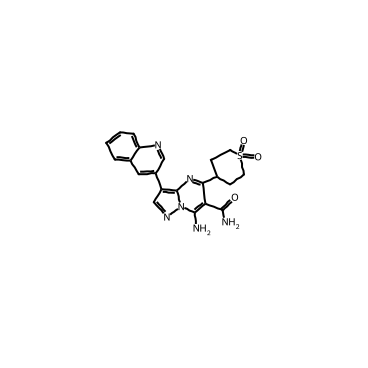 NC(=O)c1c(C2CCS(=O)(=O)CC2)nc2c(-c3cnc4ccccc4c3)cnn2c1N